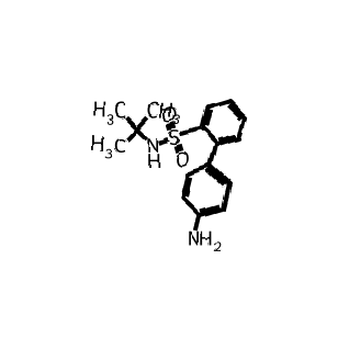 CC(C)(C)NS(=O)(=O)c1ccccc1-c1ccc(N)cc1